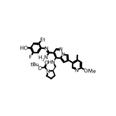 CCc1cc(O)c(F)cc1N=C(N)c1cnn2cc(-c3cnc(OC)cc3C)cc2c1NC[C@H]1CCCN1C(=O)OC(C)(C)C